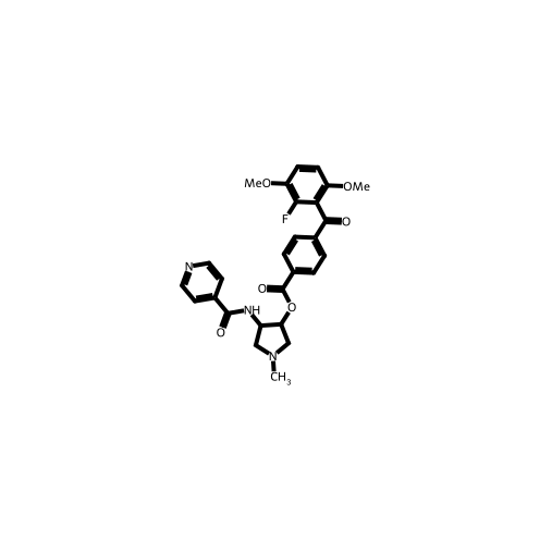 COc1ccc(OC)c(C(=O)c2ccc(C(=O)OC3CN(C)CC3NC(=O)c3ccncc3)cc2)c1F